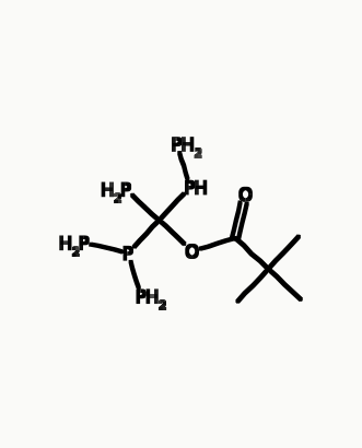 CC(C)(C)C(=O)OC(P)(PP)P(P)P